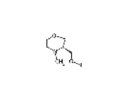 CN1CCOC[C@H]1COI